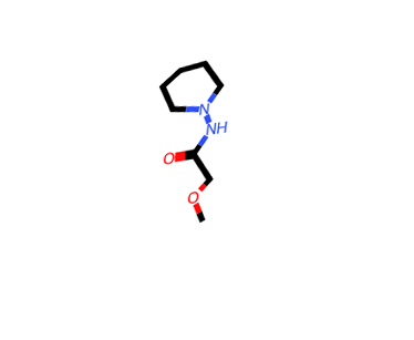 COCC(=O)NN1CCCCC1